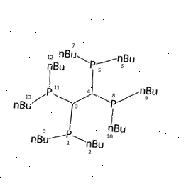 CCCCP(CCCC)C(C(P(CCCC)CCCC)P(CCCC)CCCC)P(CCCC)CCCC